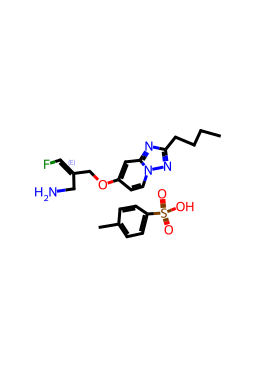 CCCCc1nc2cc(OC/C(=C/F)CN)ccn2n1.Cc1ccc(S(=O)(=O)O)cc1